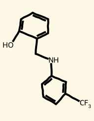 Oc1ccccc1CNc1cccc(C(F)(F)F)c1